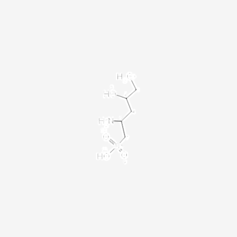 CCC(O)CC(N)CS(=O)(=O)O